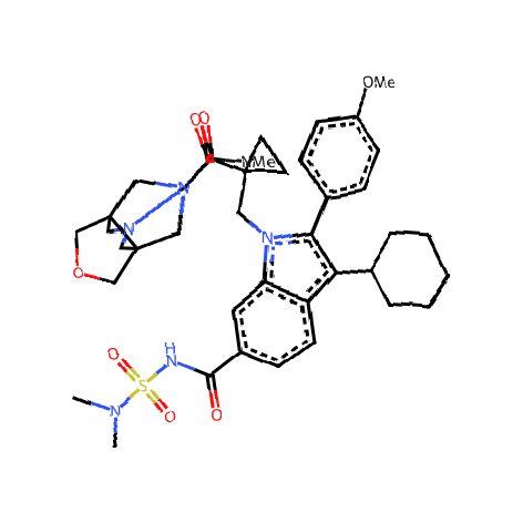 CNC(=O)N1CC23COCC2(C1)CN(C(=O)C1(Cn2c(-c4ccc(OC)cc4)c(C4CCCCC4)c4ccc(C(=O)NS(=O)(=O)N(C)C)cc42)CC1)C3